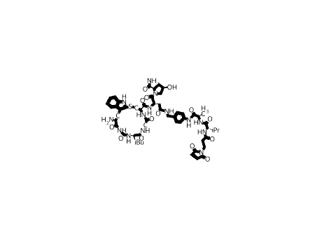 CC[C@H](C)[C@@H]1NC(=O)NC(=O)[C@@H](N)Cc2c([nH]c3ccccc23)SC[C@@H](C(=O)N[C@@H](CC(=O)NCc2ccc(NC(=O)[C@H](C)NC(=O)[C@@H](NC(=O)CCN3C(=O)C=CC3=O)C(C)C)cc2)C(=O)N2C[C@H](O)C[C@@H]2C(N)=O)NC(=O)CNC1=O